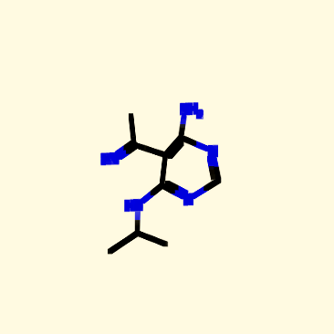 CC(=N)c1c(N)ncnc1NC(C)C